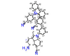 CC1=C(/C=C\CN)C2C=C(C#N)C=CC2N1c1cccc(-c2cccc(-c3cc(C#N)ccc3-n3c4ccccc4c4ccccc43)c2C#N)c1